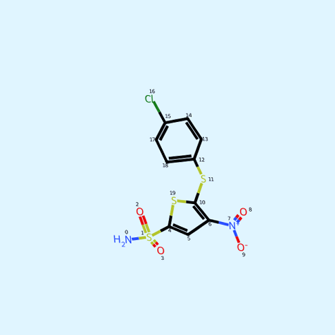 NS(=O)(=O)c1cc([N+](=O)[O-])c(Sc2ccc(Cl)cc2)s1